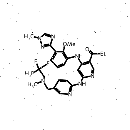 CCC(=O)c1cnc(Nc2ccc(CN(C)CC(F)(F)P)cn2)cc1Nc1cccc(-c2ncn(C)n2)c1OC